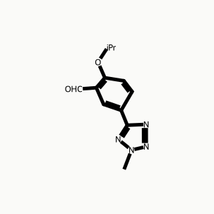 CC(C)Oc1ccc(-c2nnn(C)n2)cc1C=O